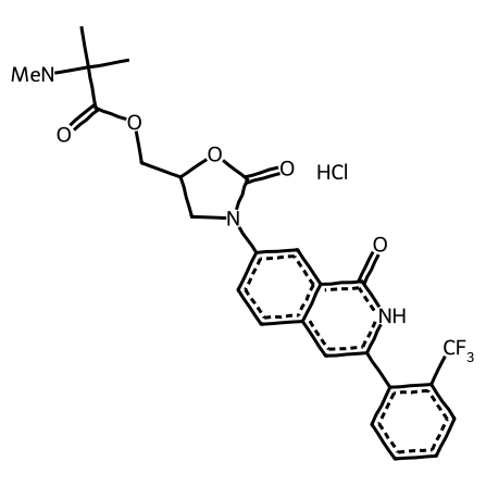 CNC(C)(C)C(=O)OCC1CN(c2ccc3cc(-c4ccccc4C(F)(F)F)[nH]c(=O)c3c2)C(=O)O1.Cl